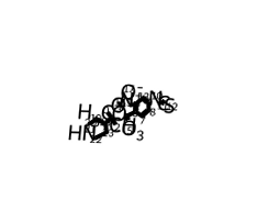 CC(C)(OC(=O)c1ccc(N=C=S)cc1[N+](=O)[O-])C1CCNCC1